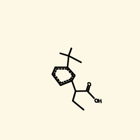 CCC(C(=O)O)c1cccc(C(C)(C)C)c1